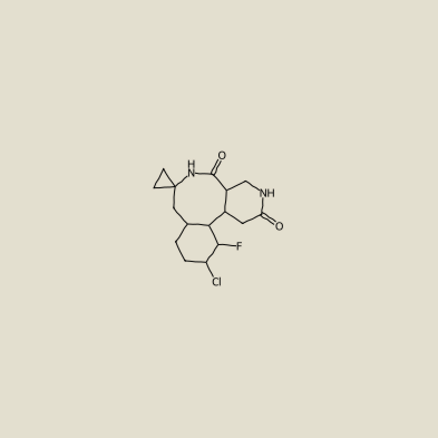 O=C1CC2C(CN1)C(=O)NC1(CC1)CC1CCC(Cl)C(F)C12